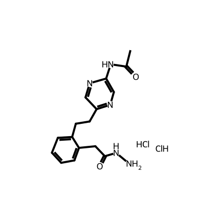 CC(=O)Nc1cnc(CCc2ccccc2CC(=O)NN)cn1.Cl.Cl